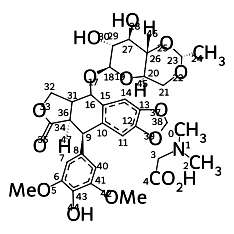 CN(C)CC(=O)O.COc1cc([C@@H]2c3cc4c(cc3C(O[C@@H]3O[C@@H]5CO[C@@H](C)O[C@H]5[C@H](O)[C@H]3O)C3COC(=O)[C@@H]32)OCO4)cc(OC)c1O